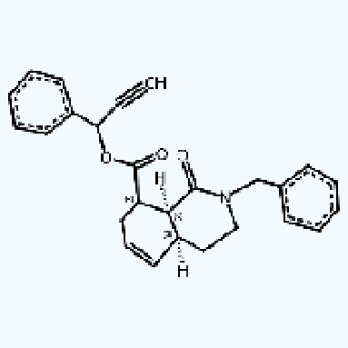 C#CC(OC(=O)[C@@H]1CC=C[C@@H]2CCN(Cc3ccccc3)C(=O)[C@@H]21)c1ccccc1